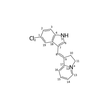 Clc1ccc2[nH]cc(/C=C3\CC[n+]4ccccc43)c2c1